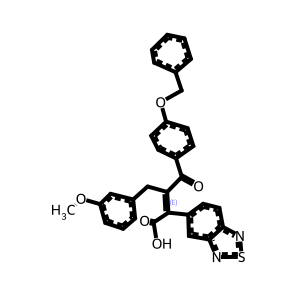 COc1cccc(C/C(C(=O)c2ccc(OCc3ccccc3)cc2)=C(\C(=O)O)c2ccc3nsnc3c2)c1